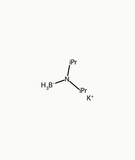 [BH3-]N(C(C)C)C(C)C.[K+]